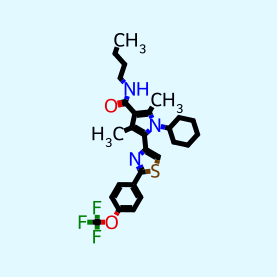 CCCCNC(=O)c1c(C)c(-c2csc(-c3ccc(OC(F)(F)F)cc3)n2)n(C2CCCCC2)c1C